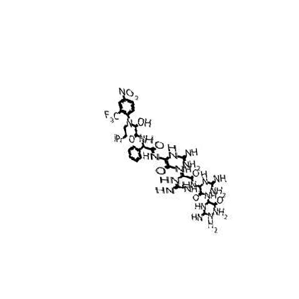 CC(C)CCN(c1ccc([N+](=O)[O-])cc1C(F)(F)F)C(O)C(=O)NC(C(=O)NC(NC(=N)N)C(=O)NC(NC(=N)N)C(=O)NC(NC(=N)N)C(=O)NC(NC(=N)N)C(N)=O)c1ccccc1